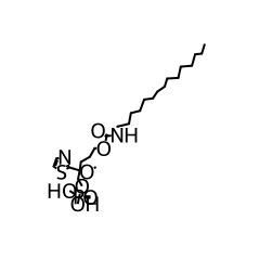 CCCCCCCCCCCCCCCNC(=O)OCCCC(COP(=O)(O)O)(OC)c1nccs1